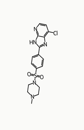 CN1CCN(S(=O)(=O)c2ccc(-c3nc4c(Cl)ccnc4[nH]3)cc2)CC1